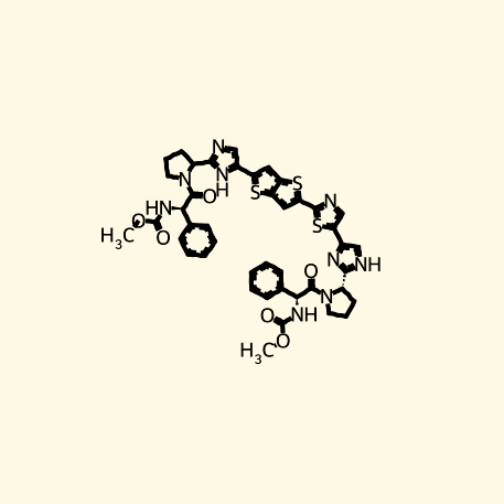 COC(=O)N[C@@H](C(=O)N1CCCC1c1ncc(-c2cc3sc(-c4ncc(-c5c[nH]c([C@@H]6CCCN6C(=O)[C@H](NC(=O)OC)c6ccccc6)n5)s4)cc3s2)[nH]1)c1ccccc1